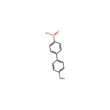 COc1ccc(-c2ccc(S(=O)O)cc2)cc1